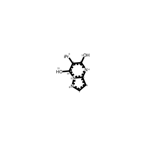 CC(C)c1c(O)nc2ccnn2c1O